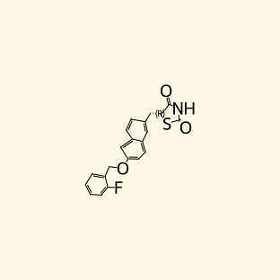 O=C1NC(=O)[C@@H](Cc2ccc3cc(OCc4ccccc4F)ccc3c2)S1